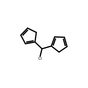 ClC(C1=CC=CC1)C1=CC=CC1